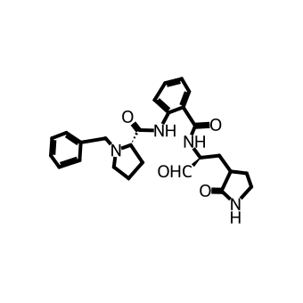 O=C[C@H](CC1CCNC1=O)NC(=O)c1ccccc1NC(=O)[C@@H]1CCCN1Cc1ccccc1